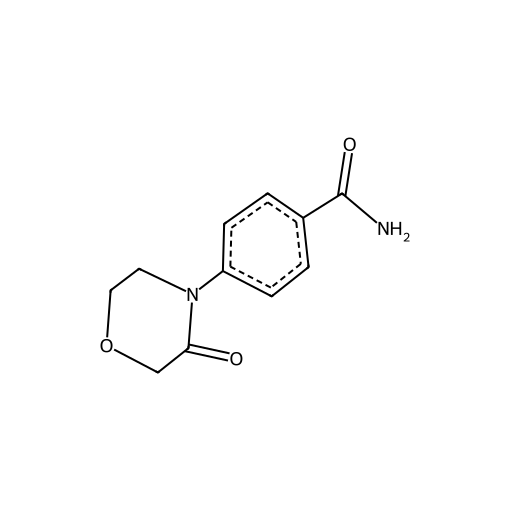 NC(=O)c1ccc(N2CCOCC2=O)cc1